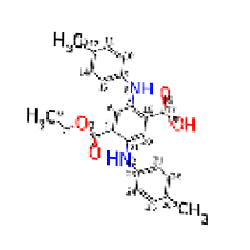 CCOC(=O)c1cc(Nc2ccc(C)cc2)c(C(=O)O)cc1Nc1ccc(C)cc1